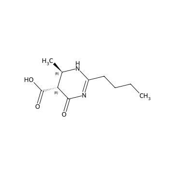 CCCCC1=NC(=O)[C@H](C(=O)O)[C@@H](C)N1